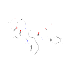 COC(=O)N(NC(=O)c1c(CN2CCC3(CC2)OCCO3)c(-c2ccccc2)nc2ccccc12)c1ccccc1